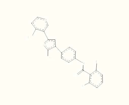 Cc1ccncc1-c1cc(-c2ccc(NC(=O)c3c(F)cccc3F)cc2)c(C)s1